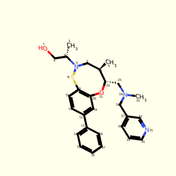 C[C@@H]1CN([C@@H](C)CO)Sc2ccc(-c3ccccc3)cc2O[C@H]1CN(C)Cc1cccnc1